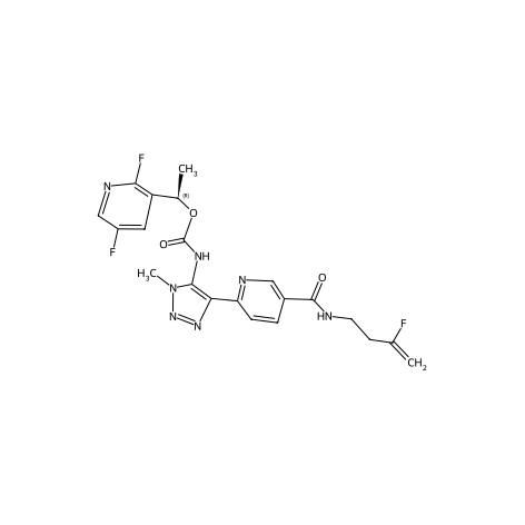 C=C(F)CCNC(=O)c1ccc(-c2nnn(C)c2NC(=O)O[C@H](C)c2cc(F)cnc2F)nc1